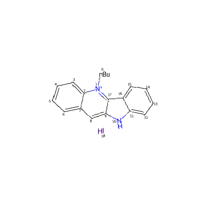 CCCC[n+]1c2ccccc2cc2[nH]c3ccccc3c21.I